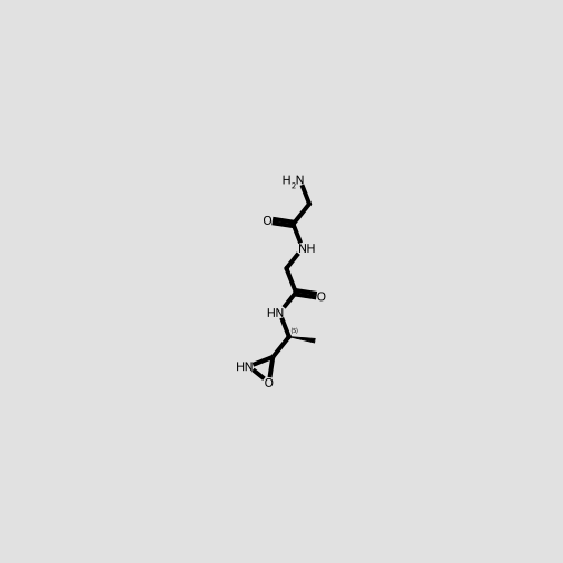 C[C@H](NC(=O)CNC(=O)CN)C1NO1